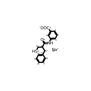 O=C([O-])c1cccc(NC(=O)C(CS)Cc2ccccc2)c1.[Na+]